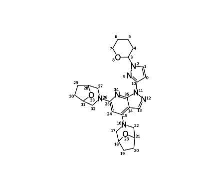 c1cn(C2CCCCO2)nc1-n1ncc2c(N3CC4CCC(C3)O4)cc(N3CC4CCC(C3)O4)nc21